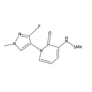 CSNc1cccn(-c2cn(C)nc2F)c1=O